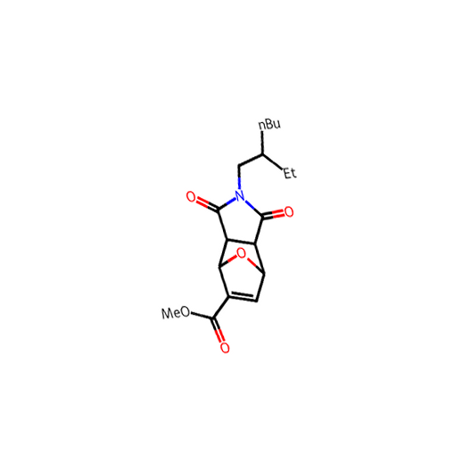 CCCCC(CC)CN1C(=O)C2C3C=C(C(=O)OC)C(O3)C2C1=O